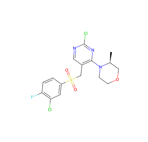 C[C@H]1COCCN1c1nc(Cl)ncc1CS(=O)(=O)c1ccc(F)c(Cl)c1